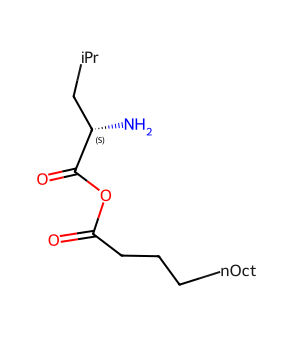 CCCCCCCCCCCC(=O)OC(=O)[C@@H](N)CC(C)C